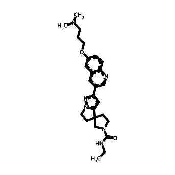 CCNC(=O)N1CCC2(CCn3nc(-c4cnc5ccc(OCCCN(C)C)cc5c4)cc32)C1